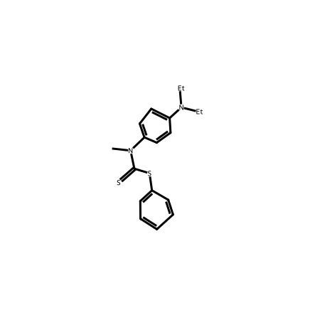 CCN(CC)c1ccc(N(C)C(=S)Sc2ccccc2)cc1